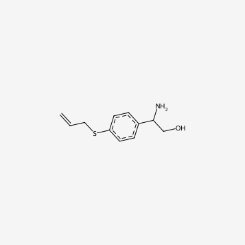 C=CCSc1ccc(C(N)CO)cc1